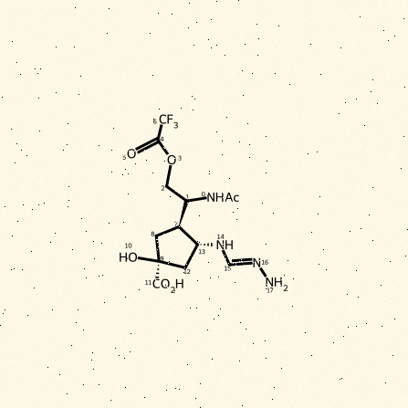 CC(=O)NC(COC(=O)C(F)(F)F)[C@@H]1C[C@@](O)(C(=O)O)C[C@H]1N/C=N/N